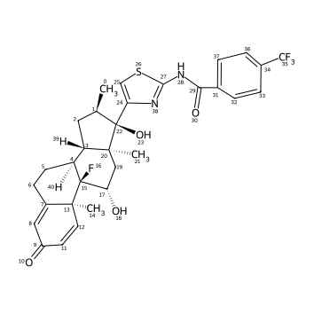 C[C@@H]1C[C@H]2[C@@H]3CCC4=CC(=O)C=C[C@]4(C)[C@@]3(F)[C@@H](O)C[C@]2(C)[C@@]1(O)c1csc(NC(=O)c2ccc(C(F)(F)F)cc2)n1